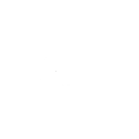 COC(C)(C)c1cc[c]cc1